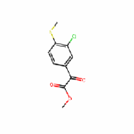 COC(=O)C(=O)c1ccc(SC)c(Cl)c1